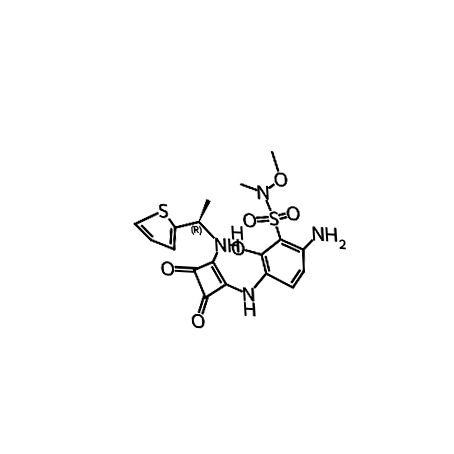 CON(C)S(=O)(=O)c1c(N)ccc(Nc2c(N[C@H](C)c3cccs3)c(=O)c2=O)c1O